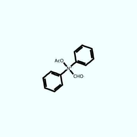 CC(=O)O[N+]([C]=O)(c1ccccc1)c1ccccc1